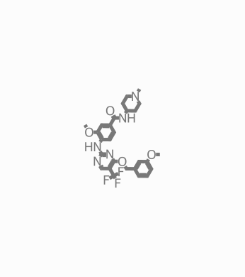 COc1cccc(COc2nc(Nc3ccc(C(=O)NC4CCN(C)CC4)cc3OC)ncc2C(F)(F)F)c1